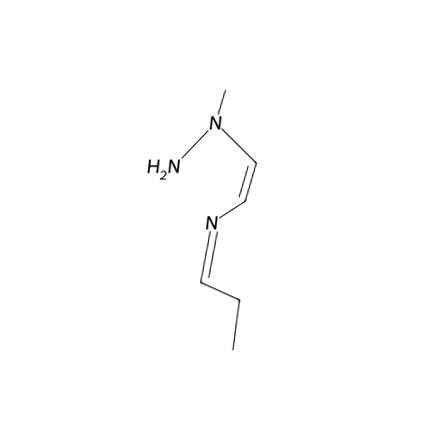 CC/C=N\C=C/N(C)N